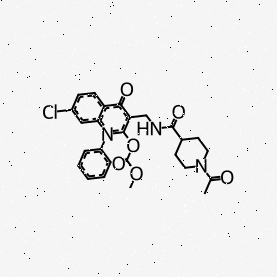 COC(=O)Oc1c(CNC(=O)C2CCN(C(C)=O)CC2)c(=O)c2ccc(Cl)cc2n1-c1ccccc1